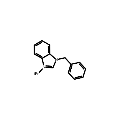 CC(C)[n+]1cn(Cc2ccccc2)c2ccccc21